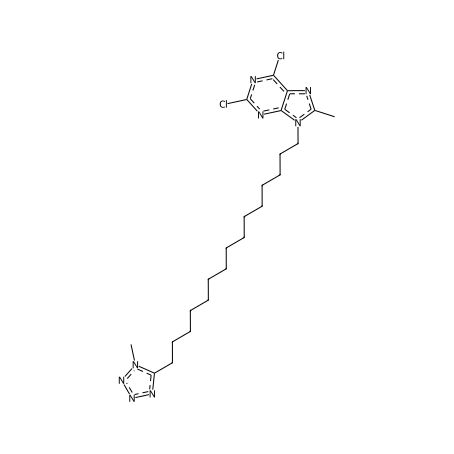 Cc1nc2c(Cl)nc(Cl)nc2n1CCCCCCCCCCCCCCCc1nnnn1C